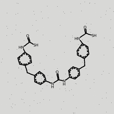 O=C(S)Nc1ccc(Cc2ccc(NC(=O)Nc3ccc(Cc4ccc(NC(=O)S)cc4)cc3)cc2)cc1